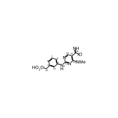 CNc1nc(Nc2cccc(CC(=O)O)c2)ncc1C(=N)Cl